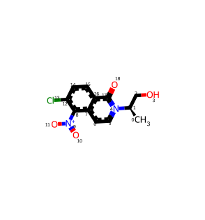 C[C@H](CO)n1ccc2c([N+](=O)[O-])c(Cl)ccc2c1=O